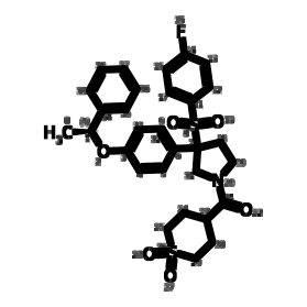 C[C@H](Oc1ccc(C2(S(=O)(=O)c3ccc(F)cc3)CCN(C(=O)C3CCS(=O)(=O)CC3)C2)cc1)c1ccccc1